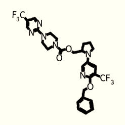 O=C(OCC1CCCN1c1cnc(OCc2ccccc2)c(C(F)(F)F)c1)N1CCN(c2ncc(C(F)(F)F)cn2)CC1